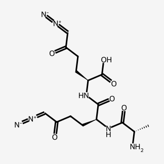 C[C@H](N)C(=O)N[C@@H](CCC(=O)C=[N+]=[N-])C(=O)N[C@@H](CCC(=O)C=[N+]=[N-])C(=O)O